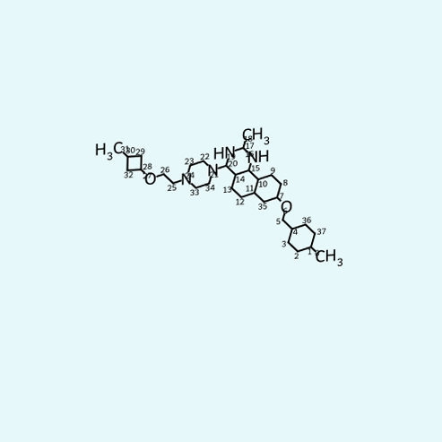 CC1CCC(COC2CCC3C(CCC4C3NC(C)NC4N3CCN(CCOC4CC(C)C4)CC3)C2)CC1